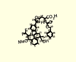 CO[C@@H](C)c1ncccc1-c1c(CC(C)(C)CO)c2cc(-c3coc(CC(NC(=O)OCc4ccccc4)C(=O)O)n3)ccc2n1C(F)C(F)F